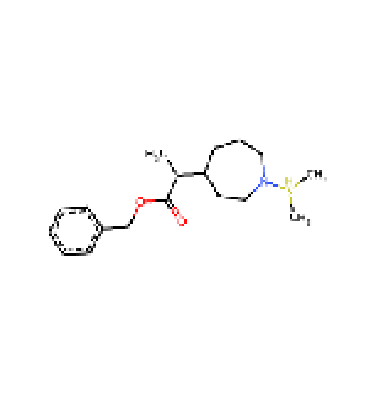 CC(C(=O)OCc1ccccc1)C1CCCN([SH](C)C)CC1